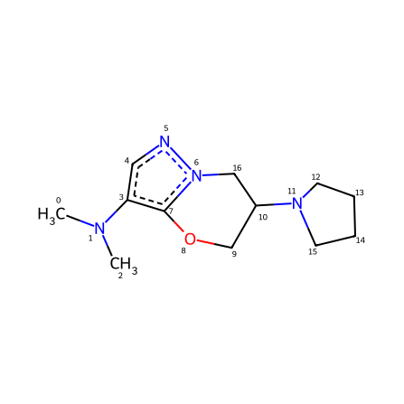 CN(C)c1cnn2c1OCC(N1CCCC1)C2